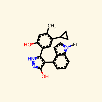 CCn1ccc2c(-c3c(O)n[nH]c3-c3cc(C4CC4)c(C)cc3O)cccc21